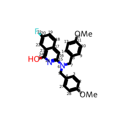 COc1ccc(CN(Cc2ccc(OC)cc2)c2cc3ccc(F)cc3c(O)n2)cc1